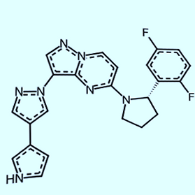 Fc1ccc(F)c([C@@H]2CCCN2c2ccn3ncc(-n4cc(-c5cc[nH]c5)cn4)c3n2)c1